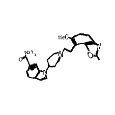 COc1ccc2nc(C)oc2c1CCN1CCC(n2ccc3ccc(C(N)=O)cc32)CC1